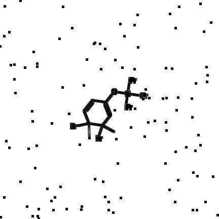 CC(C)[Si](OC1=CC(C)(Br)C(C)(Br)C=C1)(C(C)C)C(C)C